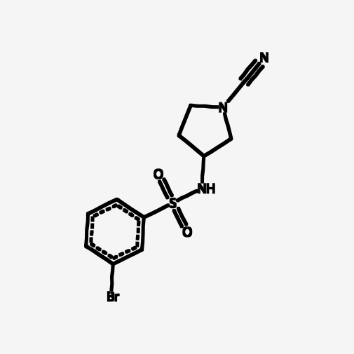 N#CN1CCC(NS(=O)(=O)c2cccc(Br)c2)C1